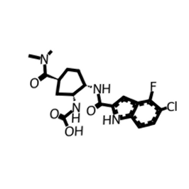 CN(C)C(=O)[C@H]1CC[C@H](NC(=O)c2cc3c(F)c(Cl)ccc3[nH]2)[C@H](NC(=O)O)C1